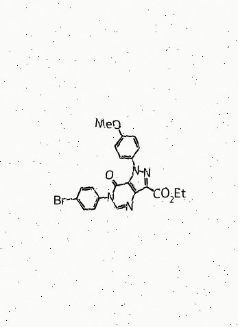 CCOC(=O)c1nn(-c2ccc(OC)cc2)c2c(=O)n(-c3ccc(Br)cc3)cnc12